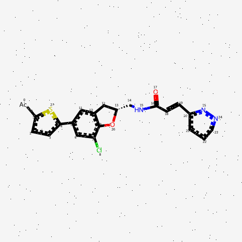 CC(=O)c1ccc(-c2cc(Cl)c3c(c2)C[C@H](CNC(=O)C=Cc2cccnn2)O3)s1